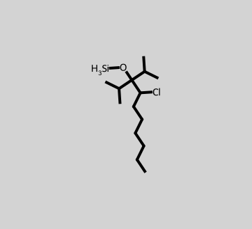 CCCCCCC(Cl)C(O[SiH3])(C(C)C)C(C)C